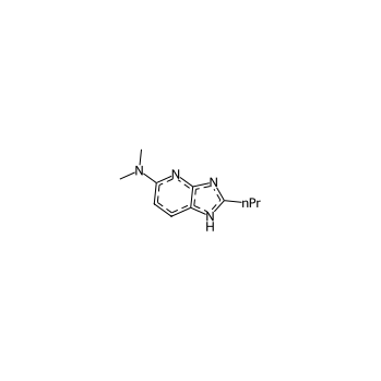 CCCc1nc2nc(N(C)C)ccc2[nH]1